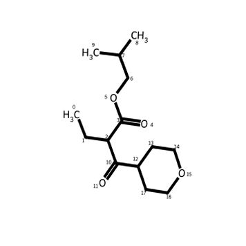 CCC(C(=O)OCC(C)C)C(=O)C1CCOCC1